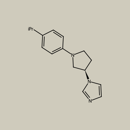 CC(C)c1ccc(N2CC[C@@H](n3ccnc3)C2)cc1